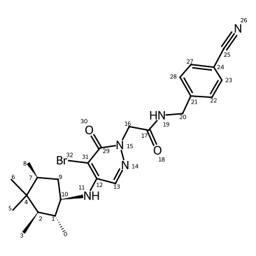 C[C@@H]1[C@@H](C)C(C)(C)[C@@H](C)C[C@H]1Nc1cnn(CC(=O)NCc2ccc(C#N)cc2)c(=O)c1Br